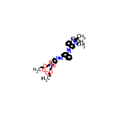 C=CC(=O)OCCN(CCOC(=O)C=C)S(=O)(=O)c1ccc(/N=N/c2ccc(/N=N/c3ccc4c5c(cccc35)N(C)C(C)(CCC)N4C)c3ccccc23)cc1